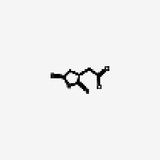 O=C(Cl)CC1CC(=O)OC1=O